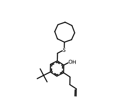 C=CCCc1cc(C(C)(C)C)cc(CSC2CCCCCCC2)c1O